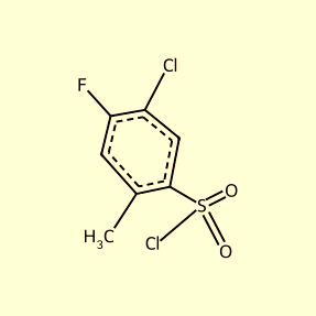 Cc1cc(F)c(Cl)cc1S(=O)(=O)Cl